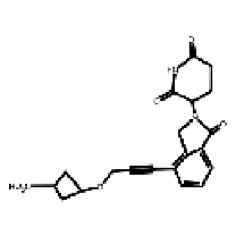 O=C1CCC(N2Cc3c(C#CCOC4CC(C(=O)O)C4)cccc3C2=O)C(=O)N1